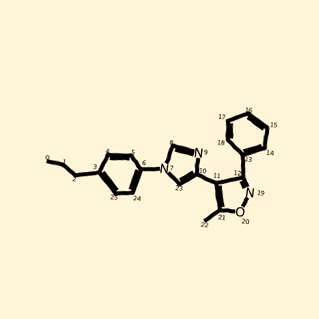 CCCc1ccc(-n2cnc(-c3c(-c4ccccc4)noc3C)c2)cc1